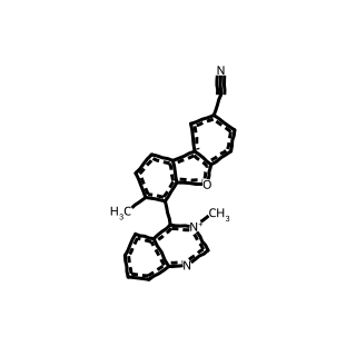 Cc1ccc2c(oc3ccc(C#N)cc32)c1-c1c2ccccc2nc[n+]1C